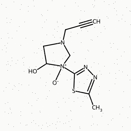 C#CCN1CC(O)[N+]([O-])(c2nnc(C)s2)C1